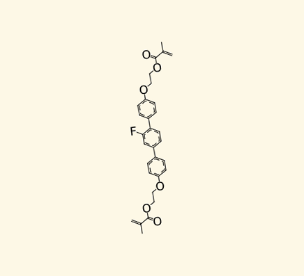 C=C(C)C(=O)OCCOc1ccc(-c2ccc(-c3ccc(OCCOC(=O)C(=C)C)cc3)c(F)c2)cc1